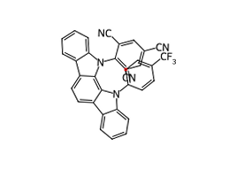 N#Cc1cc(C#N)c(-n2c3ccccc3c3ccc4c5ccccc5n(-c5ccc(C(F)(F)F)cc5)c4c32)c(C#N)c1